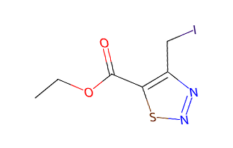 CCOC(=O)c1snnc1CI